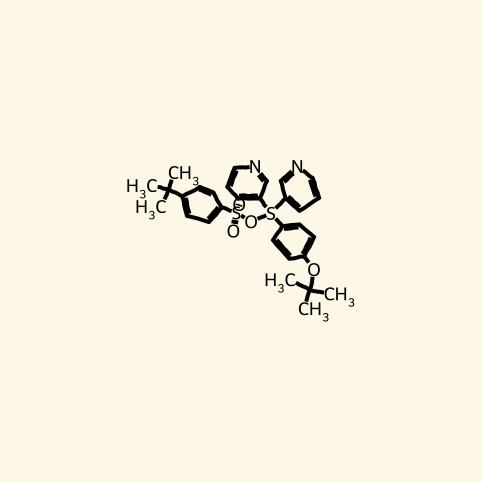 CC(C)(C)Oc1ccc(S(OS(=O)(=O)c2ccc(C(C)(C)C)cc2)(c2cccnc2)c2cccnc2)cc1